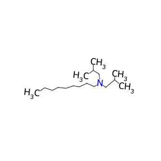 CCCCCCCCCN(CC(C)C)CC(C)C